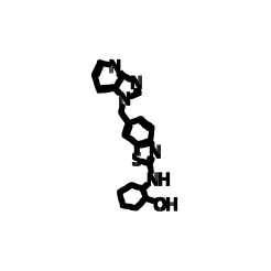 OC1CCCCC1Nc1nc2ccc(Cn3cnc4ncccc43)cc2s1